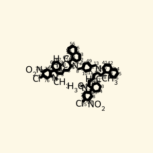 CN1/C(=C/C=C/C2=[N+](Cc3ccc(C[N+]4=C(/C=C/C=C5/N(C)c6cc(Cl)c([N+](=O)[O-])cc6C56CCCCC6)C(C)(C)c5c4ccc4ccccc54)cc3)c3ccc4ccccc4c3C2(C)C)C2(CCCCC2)c2cc([N+](=O)[O-])c(Cl)cc21